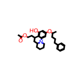 CC(=O)OCCC1CC2CCCCN2c2cc(OC(C)CCCc3ccccc3)cc(O)c21